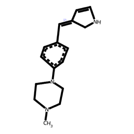 CN1CCN(c2ccc(/C=C3/C=CNC3)cc2)CC1